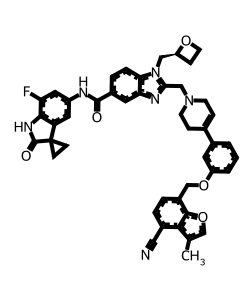 Cc1coc2c(COc3cccc(C4=CCN(Cc5nc6cc(C(=O)Nc7cc(F)c8c(c7)C7(CC7)C(=O)N8)ccc6n5C[C@@H]5CCO5)CC4)c3)ccc(C#N)c12